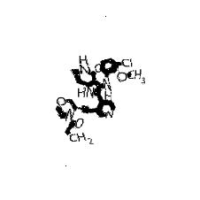 C=CC(=O)N1CCOC[C@H]1C#Cc1cnccc1-c1[nH]c2c(c1Nc1cccc(Cl)c1OC)C(=O)NCC2